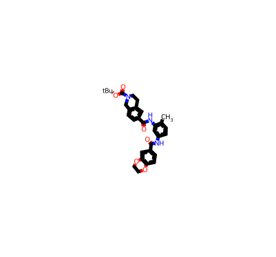 Cc1ccc(NC(=O)c2ccc3c(c2)OCCO3)cc1NC(=O)c1ccc2c(c1)CCN(C(=O)OC(C)(C)C)C2